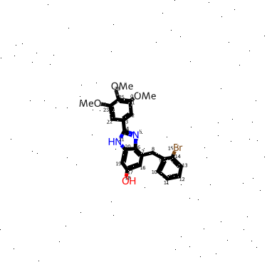 COc1cc(-c2nc3c(Cc4ccccc4Br)cc(O)cc3[nH]2)cc(OC)c1OC